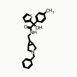 Cc1ccc(C(O)(C(=O)NCC2C3CN(Cc4ccccc4)CC23)c2cccs2)cc1